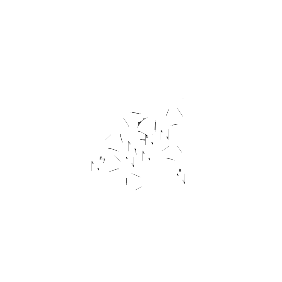 Cc1ccc2c(c1)c1cc(C(C)(C)C)ccc1n2-c1ccc(C#N)cc1-c1nc(-c2ccccc2-c2ccc(C#N)cc2)nc(-n2c3ccccc3c3ccccc32)n1